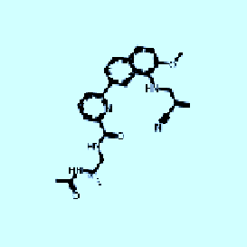 C=C(C#N)CNc1c(OC)ccc2ccc(-c3cccc(C(=O)NC[C@H](C)NC(C)=O)n3)cc12